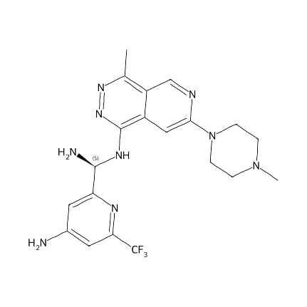 Cc1nnc(N[C@H](N)c2cc(N)cc(C(F)(F)F)n2)c2cc(N3CCN(C)CC3)ncc12